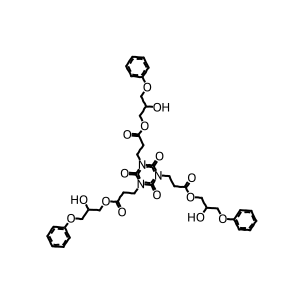 O=C(CCn1c(=O)n(CCC(=O)OCC(O)COc2ccccc2)c(=O)n(CCC(=O)OCC(O)COc2ccccc2)c1=O)OCC(O)COc1ccccc1